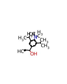 C#CC(O)c1cc(C(C)C)c(N(C)C)c(C(C)C)c1